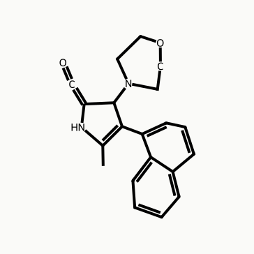 CC1=C(c2cccc3ccccc23)C(N2CCOCC2)C(=C=O)N1